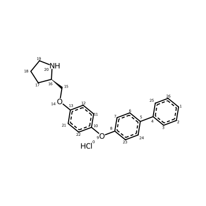 Cl.c1ccc(-c2ccc(Oc3ccc(OC[C@H]4CCCN4)cc3)cc2)cc1